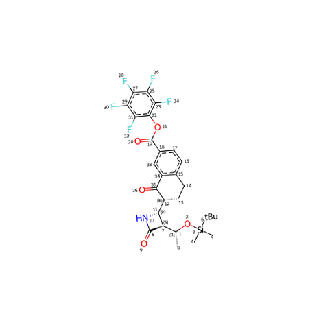 C[C@@H](O[Si](C)(C)C(C)(C)C)[C@H]1C(=O)N[C@@H]1[C@H]1CCc2ccc(C(=O)Oc3c(F)c(F)c(F)c(F)c3F)cc2C1=O